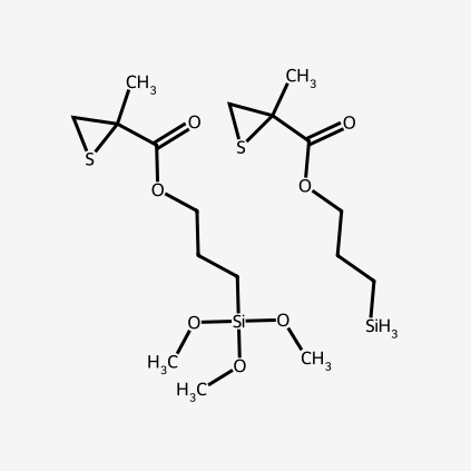 CC1(C(=O)OCCC[SiH3])CS1.CO[Si](CCCOC(=O)C1(C)CS1)(OC)OC